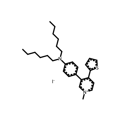 CCCCCCN(CCCCCC)c1ccc(-c2c[n+](C)ccc2-c2cccs2)cc1.[I-]